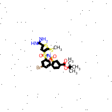 CSc1sc(C(=N)N)cc1S(=O)(=NS(=O)(=O)c1cccc(C(=O)OC(C)(C)C)c1)c1cccc(Br)c1